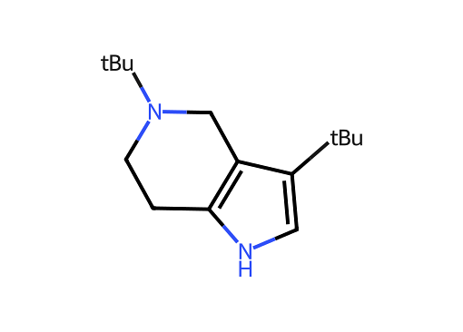 CC(C)(C)c1c[nH]c2c1CN(C(C)(C)C)CC2